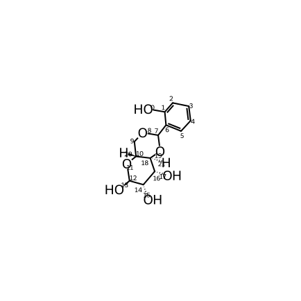 Oc1ccccc1C1OC[C@H]2OC(O)[C@@H](O)[C@@H](O)[C@@H]2O1